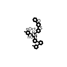 CCCCCCCCc1cc(-c2cc(-c3cccc(-c4ccccc4-c4cccc(C)c4)c3)nc(-c3ccc4sc5cc6oc7ccccc7c6cc5c4c3)n2)c(CCCCCCCC)cc1C